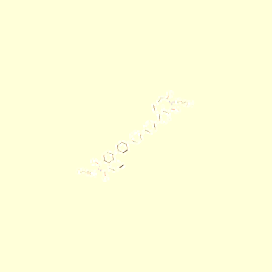 C#C/C=C1/C(=O)N(CCCCCCC)C(=O)c2ccc(-c3c#cc(C4=CC=C(C5=CC=C(C6=C7/C=C\C=C\C(=O)N(CCCCCCC)C(=O)C(=C7C)CC6)CC5)CC4)cc3)c(C)c21